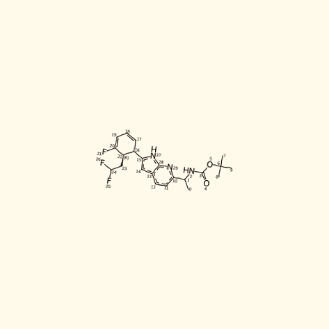 CC(NC(=O)OC(C)(C)C)c1ccc2cc(C3C=CC=C(F)[C@@H]3CC(F)F)[nH]c2n1